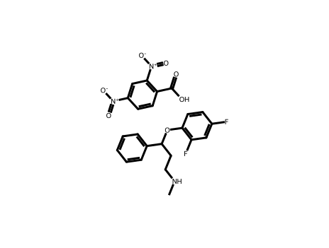 CNCCC(Oc1ccc(F)cc1F)c1ccccc1.O=C(O)c1ccc([N+](=O)[O-])cc1[N+](=O)[O-]